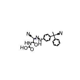 CC(C#N)(c1ccccc1)c1ccc(N/N=C(/C#N)C(=O)NC(=O)O)cc1